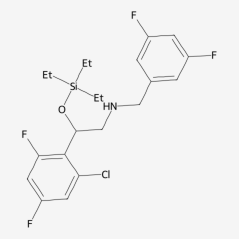 CC[Si](CC)(CC)OC(CNCc1cc(F)cc(F)c1)c1c(F)cc(F)cc1Cl